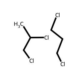 CC(Cl)CCl.ClCCCCl